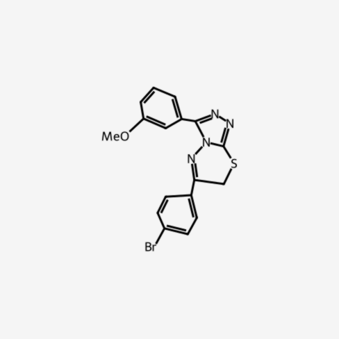 COc1cccc(-c2nnc3n2N=C(c2ccc(Br)cc2)CS3)c1